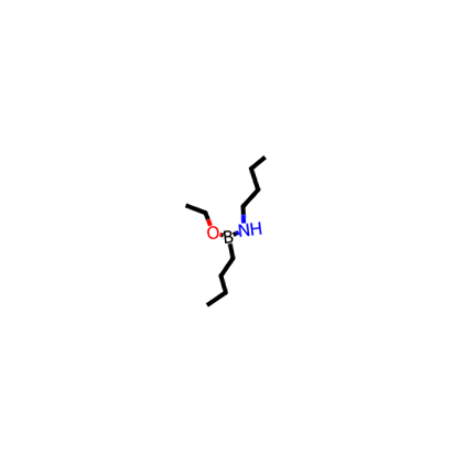 CCCCNB(CCCC)OCC